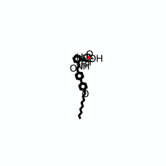 CCCCCCCCOc1ccc(-c2ccc(C(=O)Nc3ccccc3C(F)(F)C(F)(F)P(=O)(O)O)cc2)cc1